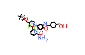 CC(C)(C)[Si](C)(C)OCC1CCN(c2cc3nc(C4CCC(CO)CC4)oc3cc2N2C(C(F)(F)F)=CC=CC2C(N)=O)CC1